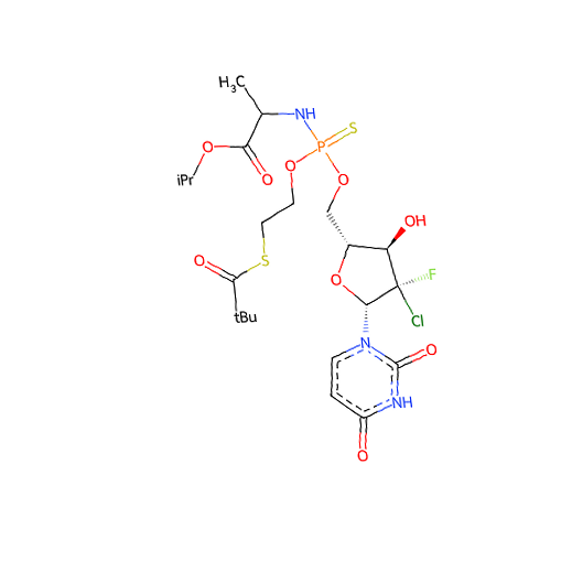 CC(C)OC(=O)C(C)NP(=S)(OCCSC(=O)C(C)(C)C)OC[C@H]1O[C@@H](n2ccc(=O)[nH]c2=O)[C@](F)(Cl)[C@@H]1O